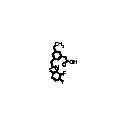 CCc1cc(CC(=O)O)cc(Cc2nc3c(F)c(F)ccc3s2)c1